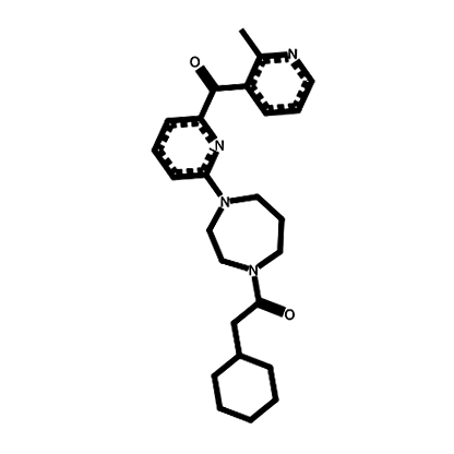 Cc1ncccc1C(=O)c1cccc(N2CCCN(C(=O)CC3CCCCC3)CC2)n1